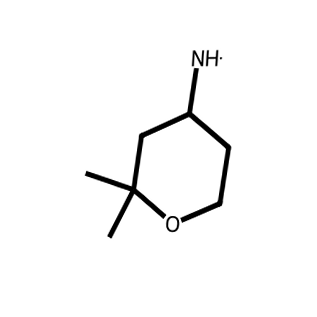 CC1(C)CC([NH])CCO1